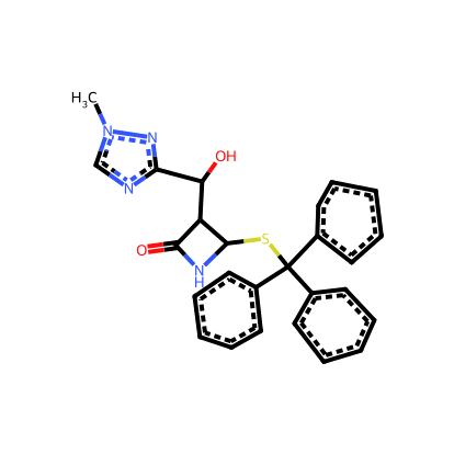 Cn1cnc(C(O)C2C(=O)NC2SC(c2ccccc2)(c2ccccc2)c2ccccc2)n1